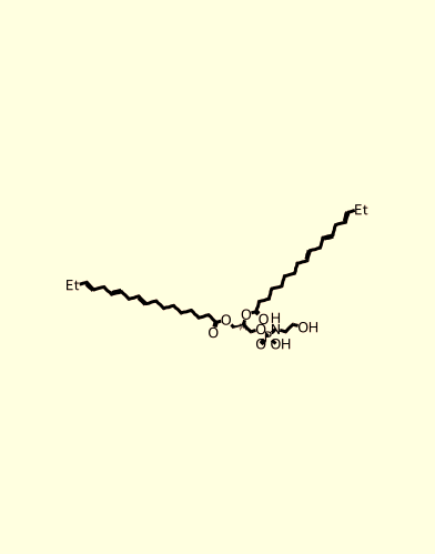 CCC=CCC=CCC=CCCCCCCCC(=O)OC[C@H](COP(=O)(O)NCCO)OC(=O)CCCCCCCC=CCC=CCC=CCC